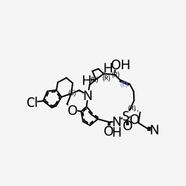 N#CCC[C@H]1CC/C=C/[C@H](O)[C@@H]2CC[C@H]2CN2C[C@@]3(CCCc4cc(Cl)ccc43)COc3ccc(cc32)C(=O)NS1(=O)=O